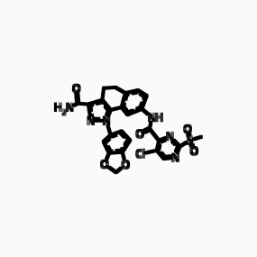 CS(=O)(=O)c1ncc(Cl)c(C(=O)Nc2ccc3c(c2)-c2c(c(C(N)=O)nn2-c2ccc4c(c2)OCO4)CC3)n1